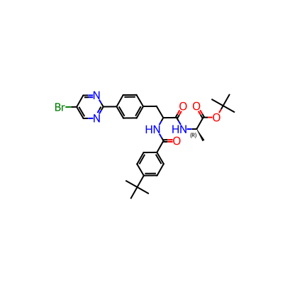 C[C@@H](NC(=O)C(Cc1ccc(-c2ncc(Br)cn2)cc1)NC(=O)c1ccc(C(C)(C)C)cc1)C(=O)OC(C)(C)C